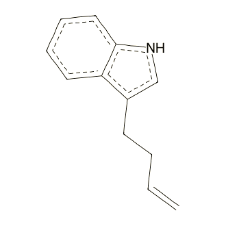 C=CCCc1c[nH]c2ccccc12